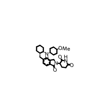 CO[C@H]1CC[C@H](N[C@H]2CCCC[C@@H]2Cc2ccc3c(c2)CN(C2CCC(=O)NC2=O)C3=O)CC1